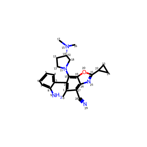 Cc1c(-c2ccccc2N)c(N2CC[C@H](N(C)C)C2)c2oc(C3CC3)nc2c1C#N